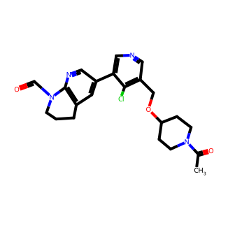 CC(=O)N1CCC(OCc2cncc(-c3cnc4c(c3)CCCN4C=O)c2Cl)CC1